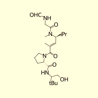 C/C(=C\[C@H](C(C)C)N(C)C(=O)CNC=O)C(=O)N1CCC[C@H]1C(=O)NC(CO)C(C)(C)C